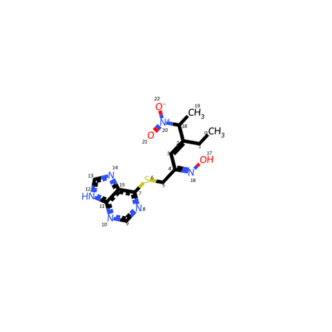 CC/C(=C\C(CSc1ncnc2[nH]cnc12)=N/O)C(C)[N+](=O)[O-]